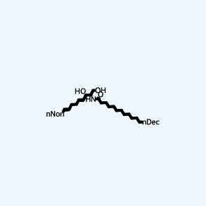 CCCCCCCCC/C=C/CC/C=C/C(O)C(CO)NC(=O)CCCCCCCCCCCCCCCCCCCCC